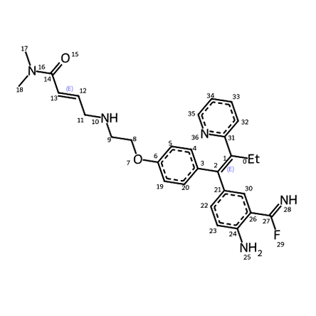 CC/C(=C(/c1ccc(OCCNC/C=C/C(=O)N(C)C)cc1)c1ccc(N)c(C(=N)F)c1)c1ccccn1